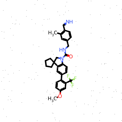 COc1ccc(-c2ccc3c(c2)C2(CCCC2)CN3C(=O)NCc2ccc(C=N)c(C)c2)c(C(F)(F)F)c1